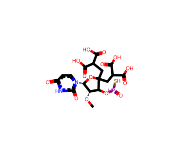 CO[C@H]1C(O[PH](=O)S)C(CC(C(=O)O)C(=O)O)(CC(C(=O)O)C(=O)O)O[C@H]1n1ccc(=O)[nH]c1=O